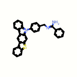 N/C(=N\Cc1ccc(-n2c3ccccc3c3cc4c(cc32)sc2ccccc24)cc1)c1ccccc1